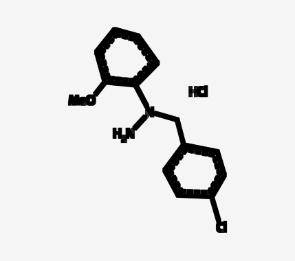 COc1ccccc1N(N)Cc1ccc(Cl)cc1.Cl